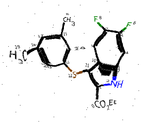 CCOC(=O)c1[nH]c2cc(F)c(F)cc2c1Sc1cc(C)cc(C)c1